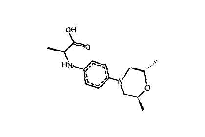 C[C@H](Nc1ccc(N2C[C@H](C)O[C@@H](C)C2)cc1)C(=O)O